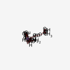 C/C(=C\C(=O)N[C@H]1CCc2cccc3c2N(C1=O)[C@H](C(=O)N[C@@H](CCC(N)=O)[C@@H](C)OCc1ccc(CCCNC(=O)COCCOCCOCCCc2ccc4c(c2)n(C)c(=O)n4C2CCC(=O)NC2=O)cc1)C3)c1ccc(C(F)(F)P(=O)(OCOC(=O)C(C)(C)C)OCOC(=O)C(C)(C)C)cc1